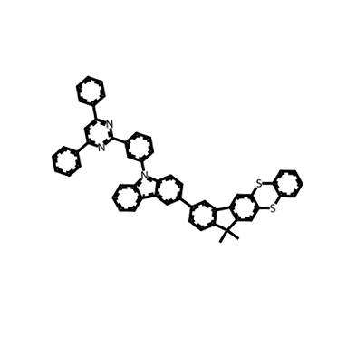 CC1(C)c2ccc(-c3ccc4c(c3)c3ccccc3n4-c3cccc(-c4nc(-c5ccccc5)cc(-c5ccccc5)n4)c3)cc2-c2cc3c(cc21)Sc1ccccc1S3